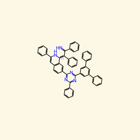 N=C(/C(=C1\NC(c2ccccc2)=Cc2ccc(-c3nc(-c4ccccc4)nc(-c4cc(-c5ccccc5)cc(-c5ccccc5)c4)n3)cc21)c1ccccc1)c1ccccc1